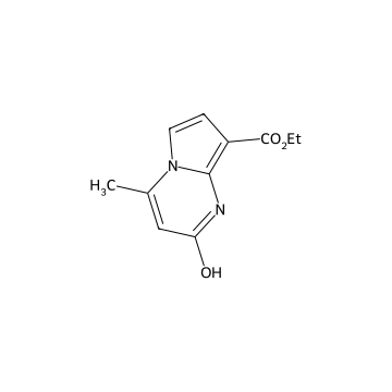 CCOC(=O)c1ccn2c(C)cc(O)nc12